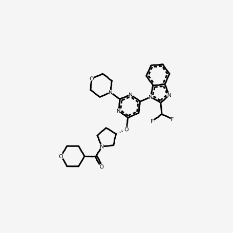 O=C(C1CCOCC1)N1CC[C@H](Oc2cc(-n3c(C(F)F)nc4ccccc43)nc(N3CCOCC3)n2)C1